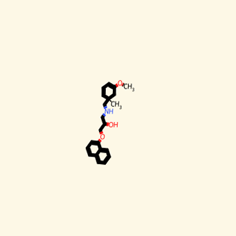 COC1=CC=C[C@](C)(CNCC(O)COc2cccc3ccccc23)C1